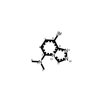 CN(C)c1ccc(Br)c2nncn12